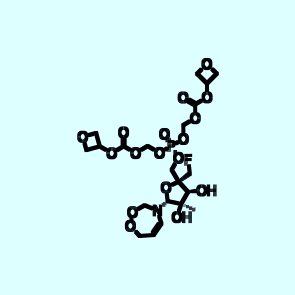 C[C@@]1(O)[C@H](O)[C@@](CF)(COP(=O)(OCOC(=O)OC2COC2)OCOC(=O)OC2COC2)O[C@H]1N1C=CCOOC1